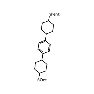 CCCCCCCCC1CCC(c2ccc(C3CCC(CCCCC)CC3)cc2)CC1